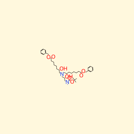 CN(CCCN(CC(O)CCCCCC(=O)OCc1ccccc1)CC(O)CCCCCC(=O)OCc1ccccc1)C(=O)OC(C)(C)C